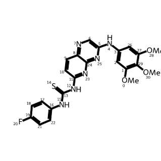 COc1cc(Nc2cnc3ccc(NC(=S)Nc4ccc(F)cc4)nc3n2)cc(OC)c1OC